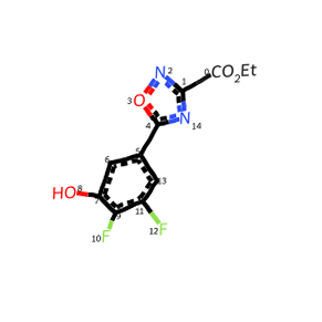 CCOC(=O)c1noc(-c2cc(O)c(F)c(F)c2)n1